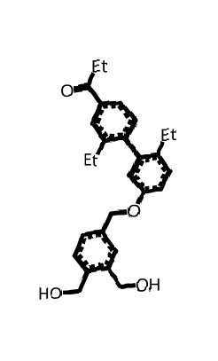 CCC(=O)c1ccc(-c2cc(OCc3ccc(CO)c(CO)c3)ccc2CC)c(CC)c1